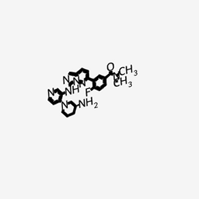 CN(C)C(=O)c1ccc(F)c(-c2ccc3cnc(Nc4cnccc4N4CCC[C@H](N)C4)n3n2)c1